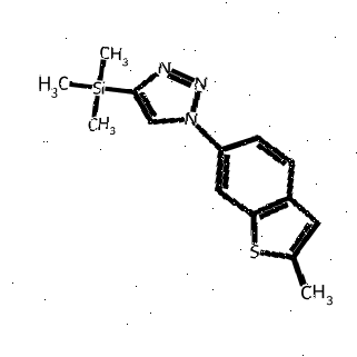 Cc1cc2ccc(-n3cc([Si](C)(C)C)nn3)cc2s1